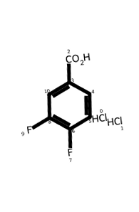 Cl.Cl.O=C(O)c1ccc(F)c(F)c1